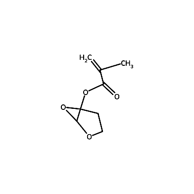 C=C(C)C(=O)OC12CCOC1O2